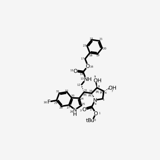 CC(C)(C)OC(=O)N1C[C@@H](O)[C@H](O)[C@H]1[C@@H](CNC(=O)OCc1ccccc1)c1c[nH]c2cc(F)ccc12